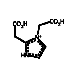 O=C(O)Cc1[nH]cc[n+]1CC(=O)O